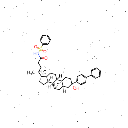 C[C@H](CCC(=O)NS(=O)(=O)c1ccccc1)[C@H]1CC[C@H]2[C@@H]3CC[C@@H]4C[C@](O)(c5ccc(-c6ccccc6)cc5)CC[C@]4(C)[C@H]3CC[C@]12C